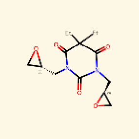 CCC1(CC)C(=O)N(C[C@H]2CO2)C(=O)N(C[C@@H]2CO2)C1=O